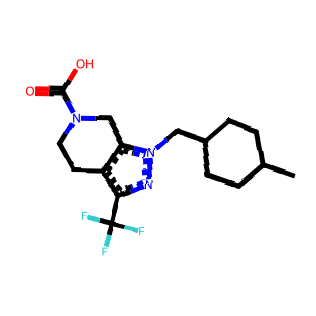 CC1CCC(Cn2nc(C(F)(F)F)c3c2CN(C(=O)O)CC3)CC1